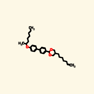 C=CCCCCCC1COC(c2ccc(-c3ccc(OC(C)CCCCCC)cc3)cc2)OC1